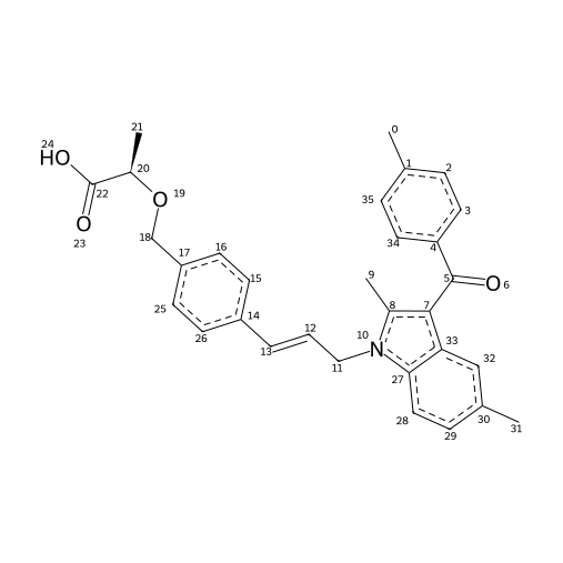 Cc1ccc(C(=O)c2c(C)n(CC=Cc3ccc(CO[C@H](C)C(=O)O)cc3)c3ccc(C)cc23)cc1